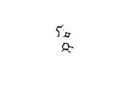 Cc1ccc(C(Nc2c(Nc3ccc(Cl)c4c3C(=O)NC4)c(=O)c2=O)C(C)(C)C)o1